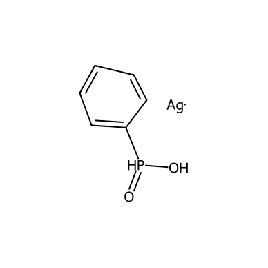 O=[PH](O)c1ccccc1.[Ag]